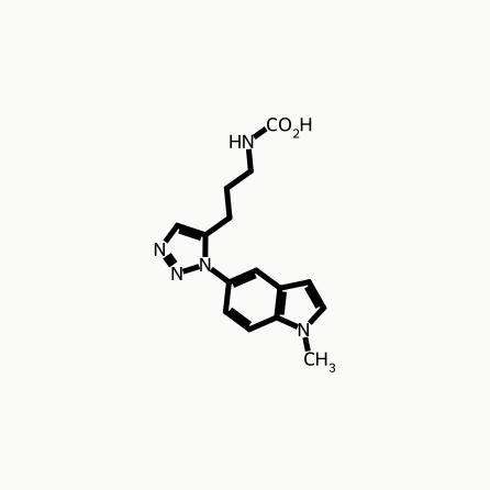 Cn1ccc2cc(-n3nncc3CCCNC(=O)O)ccc21